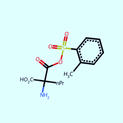 CCCC(N)(C(=O)O)C(=O)OS(=O)(=O)c1ccccc1C